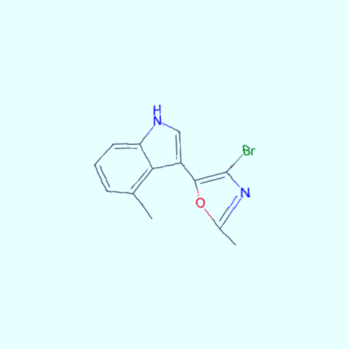 Cc1nc(Br)c(-c2c[nH]c3cccc(C)c23)o1